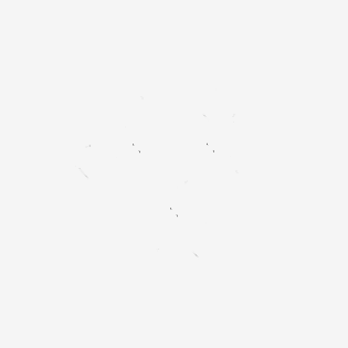 C1=C=Cc2c(c3ccccc3n2-c2cc(-n3c4ccccc4c4ccccc43)cc(-n3c4ccccc4c4ccccc43)c2)C=1